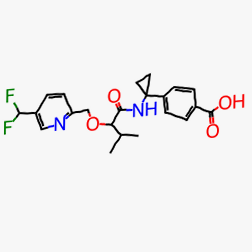 CC(C)C(OCc1ccc(C(F)F)cn1)C(=O)NC1(c2ccc(C(=O)O)cc2)CC1